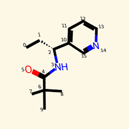 CC[C@@H](NC(=O)C(C)(C)C)c1cccnc1